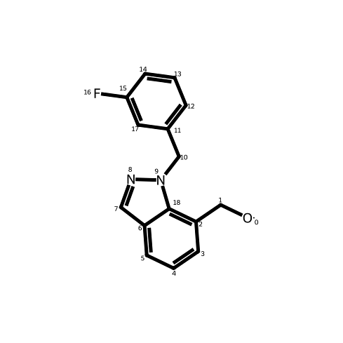 [O]Cc1cccc2cnn(Cc3cccc(F)c3)c12